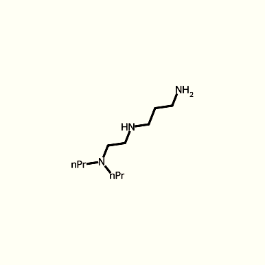 CCCN(CCC)CCNCCCN